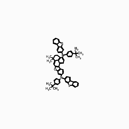 CC(C)(C)c1ccc(N(c2ccc3c(c2)oc2cc4c5c(c(N(c6ccc(C(C)(C)C)cc6)c6ccc7c(c6)sc6ccccc67)ccc5c23)CCC4(C)C)c2ccc3c(c2)sc2ccccc23)cc1